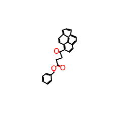 O=C(CCC(=O)c1ccc2ccc3cccc4ccc1c2c34)OCc1ccccc1